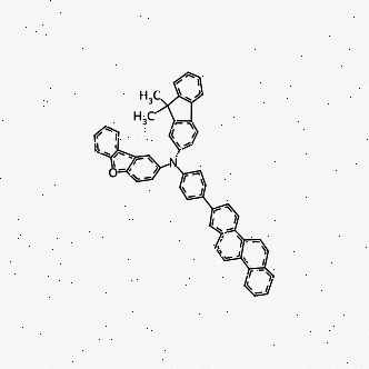 CC1(C)c2ccccc2-c2ccc(N(c3ccc(-c4ccc5c(ccc6c7ccccc7ccc56)c4)cc3)c3ccc4oc5ccccc5c4c3)cc21